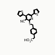 N#Cc1c(-c2cccs2)cc(-c2cccs2)nc1SCc1ccc(CC(=O)O)cc1